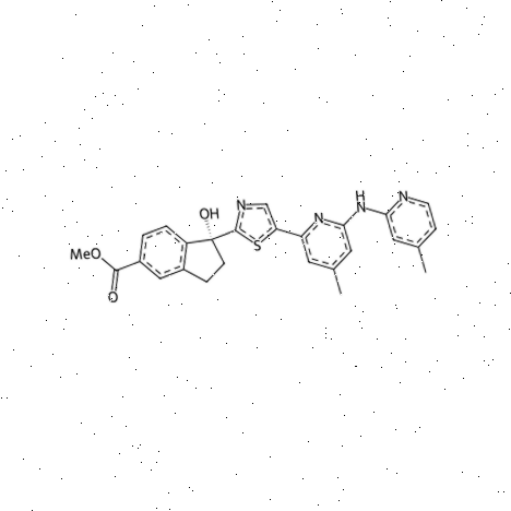 COC(=O)c1ccc2c(c1)CC[C@]2(O)c1ncc(-c2cc(C)cc(Nc3cc(C)ccn3)n2)s1